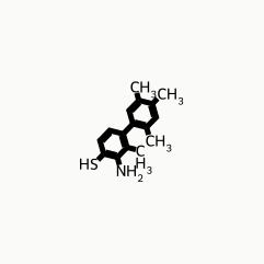 Cc1cc(C)c(-c2ccc(S)c(N)c2C)cc1C